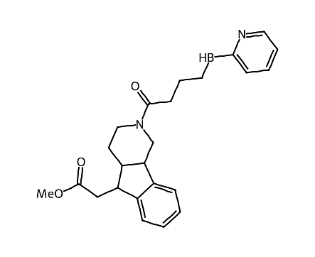 COC(=O)CC1c2ccccc2C2CN(C(=O)CCCBc3ccccn3)CCC12